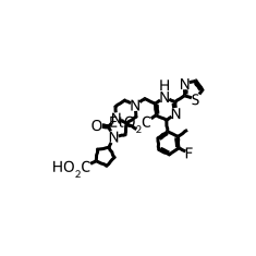 CCOC(=O)C1=C(CN2CCN3C(=O)N(C4CCC(C(=O)O)C4)CC3(C)C2)NC(c2nccs2)=NC1c1cccc(F)c1C